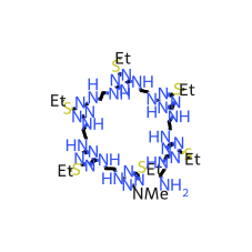 CCSc1nc(NC)nc(NCCNc2nc(NCCNc3nc(NCCNc4nc(NCCNc5nc(NCCNc6nc(NCCN)nc(SCC)n6)nc(SCC)n5)nc(SCC)n4)nc(SCC)n3)nc(SCC)n2)n1